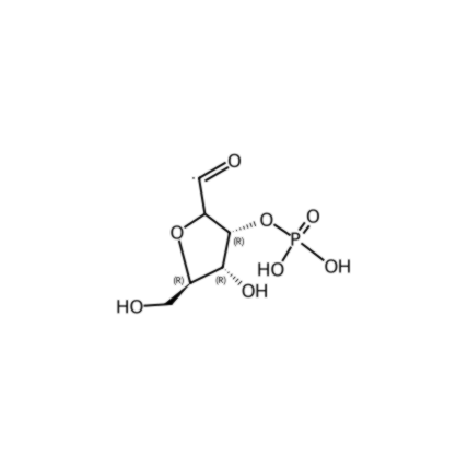 O=[C]C1O[C@H](CO)[C@@H](O)[C@H]1OP(=O)(O)O